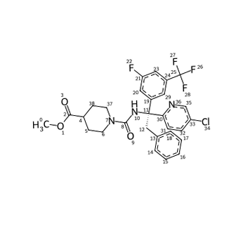 COC(=O)C1CCN(C(=O)N[C@@](Cc2ccccc2)(c2cc(F)cc(C(F)(F)F)c2)c2ccc(Cl)cn2)CC1